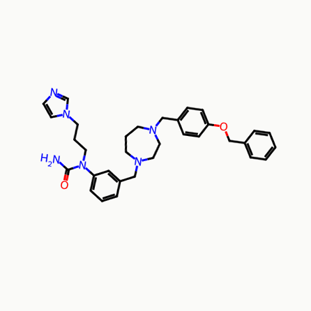 NC(=O)N(CCCn1ccnc1)c1cccc(CN2CCCN(Cc3ccc(OCc4ccccc4)cc3)CC2)c1